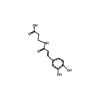 O=C(O)CCNC(=O)C=Cc1ccc(O)c(O)c1